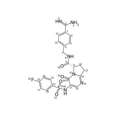 N=C(N)c1ccc(CNC(=O)[C@@H]2CCc3ncc(NS(=O)(=O)c4ccc(F)cc4)c(=O)n32)cc1